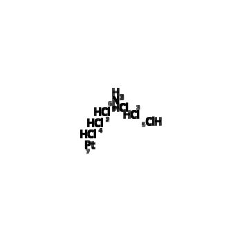 Cl.Cl.Cl.Cl.Cl.Cl.N.[Pt]